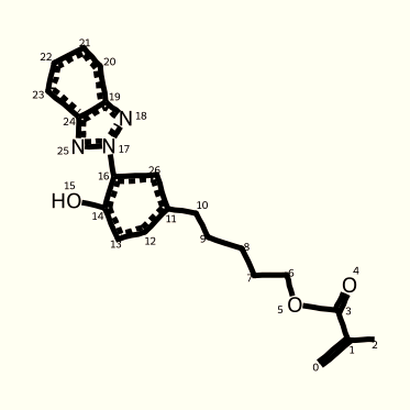 C=C(C)C(=O)OCCCCCc1ccc(O)c(-n2nc3ccccc3n2)c1